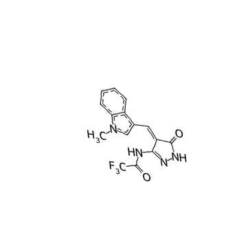 Cn1cc(C=C2C(=O)NN=C2NC(=O)C(F)(F)F)c2ccccc21